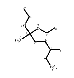 CCOC([SiH3])(CCC(C)CN)OCC